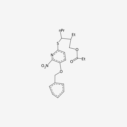 CCCC(Sc1ccc(OCc2ccccc2)c([N+](=O)[O-])n1)C(CC)COC(=O)CC